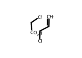 O=C(O)CCl.[CH]=CCCl